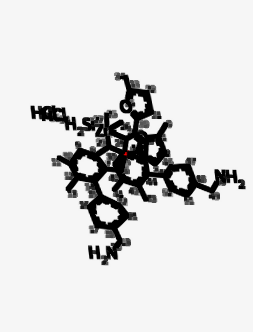 Cc1ccc(C2=Cc3c(cc(C)c(C)c3-c3ccc(CN)cc3)[CH]2[Zr]([CH3])([CH3])(=[SiH2])[CH]2C(c3ccc(C)o3)=Cc3c2cc(C)c(C)c3-c2ccc(CN)cc2)o1.Cl.Cl